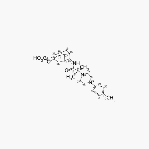 Cc1ccc(N2CCN(C(C)(C)C(=O)NC3C4CC5CC3CC(OC(=O)O)(C5)C4)CC2)cc1